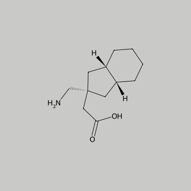 NC[C@@]1(CC(=O)O)C[C@H]2CCCC[C@H]2C1